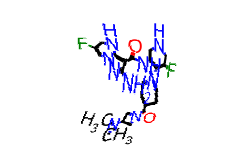 CN(C)C1CN(C(=O)C2CCN(C3C(F)CNCC3NC(=O)c3c(N)nn4c3NCC(F)=C4)CC2)C1